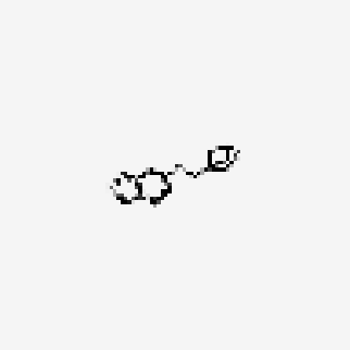 c1cn2cnnc2cc1OCC12COC(C1)C2